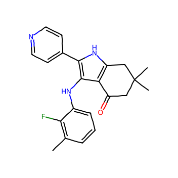 Cc1cccc(Nc2c(-c3ccncc3)[nH]c3c2C(=O)CC(C)(C)C3)c1F